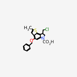 Cc1cc2c(OCc3ccccc3)cc3c(c2s1)C(CCl)CN3C(=O)O